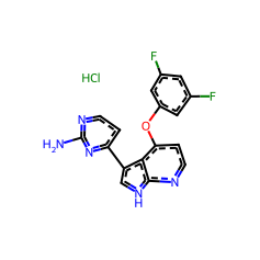 Cl.Nc1nccc(-c2c[nH]c3nccc(Oc4cc(F)cc(F)c4)c23)n1